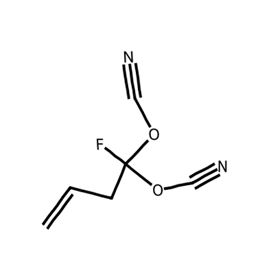 C=CCC(F)(OC#N)OC#N